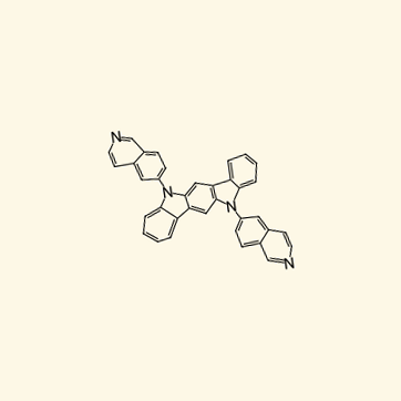 c1ccc2c(c1)c1cc3c(cc1n2-c1ccc2cnccc2c1)c1ccccc1n3-c1ccc2cnccc2c1